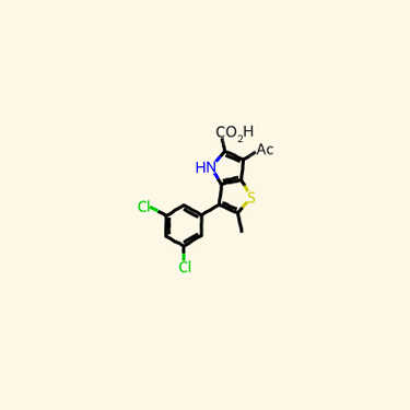 CC(=O)c1c(C(=O)O)[nH]c2c(-c3cc(Cl)cc(Cl)c3)c(C)sc12